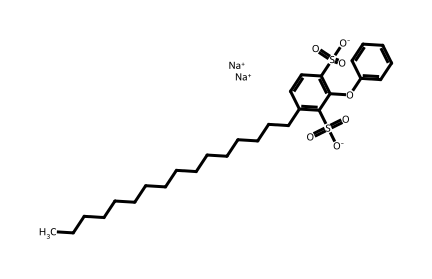 CCCCCCCCCCCCCCCCc1ccc(S(=O)(=O)[O-])c(Oc2ccccc2)c1S(=O)(=O)[O-].[Na+].[Na+]